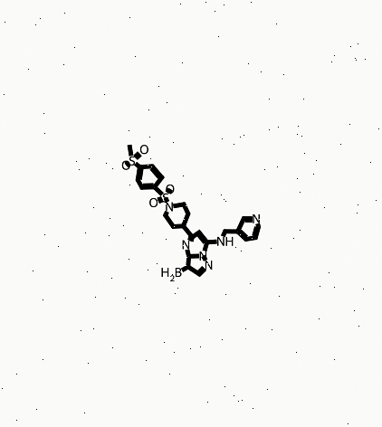 BC1C=NN2C(NCc3cccnc3)=CC(C3CCN(S(=O)(=O)c4ccc(S(C)(=O)=O)cc4)CC3)=NC12